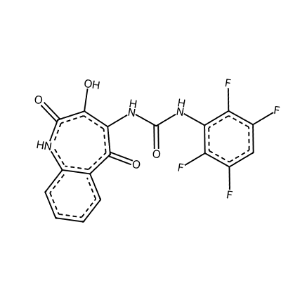 O=C(Nc1c(F)c(F)cc(F)c1F)Nc1c(O)c(=O)[nH]c2ccccc2c1=O